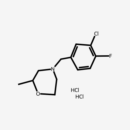 CC1CN(Cc2ccc(F)c(Cl)c2)CCO1.Cl.Cl